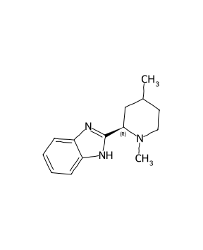 CC1CCN(C)[C@@H](c2nc3ccccc3[nH]2)C1